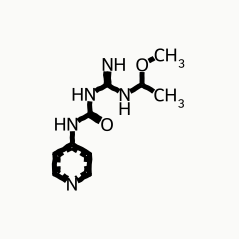 COC(C)NC(=N)NC(=O)Nc1ccncc1